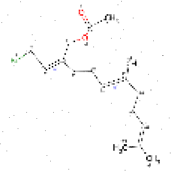 CC(=O)OC/C(=C\CBr)CC/C=C(\C)CCC=C(C)C